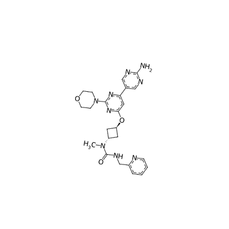 CN(C(=O)NCc1ccccn1)[C@H]1C[C@H](Oc2cc(-c3cnc(N)nc3)nc(N3CCOCC3)n2)C1